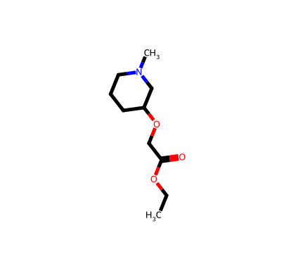 CCOC(=O)COC1CCCN(C)C1